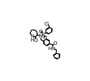 O=C(NCc1ccccc1)c1ccc(CN([C@@H]2CCCCNC2=O)S(=O)(=O)c2cccc(Cl)c2)cc1